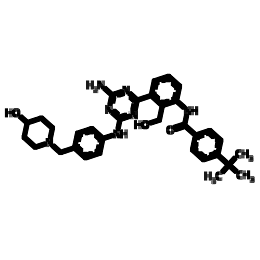 CC(C)(C)c1ccc(C(=O)Nc2cccc(-c3nc(N)nc(Nc4ccc(CN5CCC(O)CC5)cc4)n3)c2CO)cc1